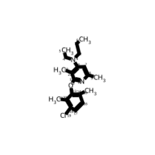 CCCN(CC)c1cc(C)nc(Oc2c(C)ccc(Cl)c2C)c1C